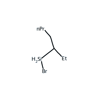 CCCCC(CC)[SiH2]Br